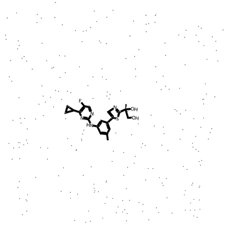 Cc1cc(Nc2ncc(F)c(C3CC3)n2)cc(-c2cnc([C@](C)(O)CO)s2)c1